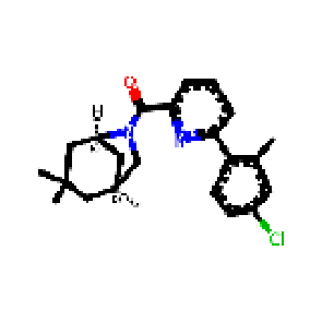 Cc1cc(Cl)ccc1-c1cccc(C(=O)N2C[C@]3(C)C[C@H]2CC(C)(C)C3)n1